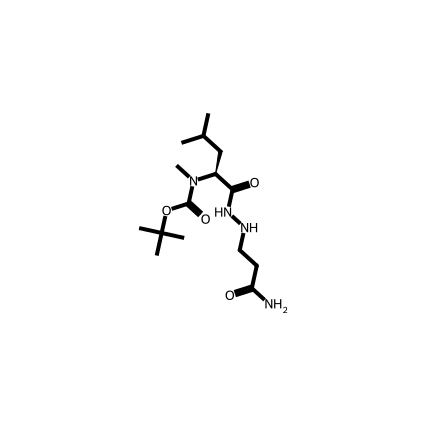 CC(C)C[C@@H](C(=O)NNCCC(N)=O)N(C)C(=O)OC(C)(C)C